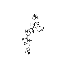 Cn1nccc1C(=O)N[C@H](c1cn2ncc([C@H](NC(=O)CC3CC(F)(F)C3)C3CC3)cc2n1)C1CCC(F)(F)CC1